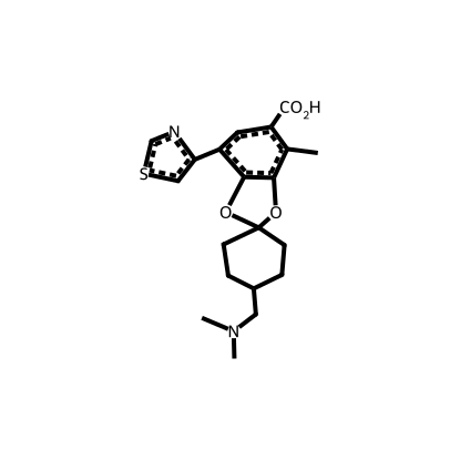 Cc1c(C(=O)O)cc(-c2cscn2)c2c1OC1(CCC(CN(C)C)CC1)O2